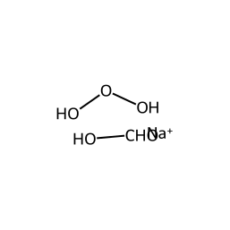 O=[C-]O.OOO.[Na+]